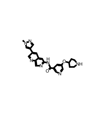 Cn1cc(-c2cnc3cnc(NC(=O)c4cncc(OC5CCNCC5)c4)cc3c2)cn1